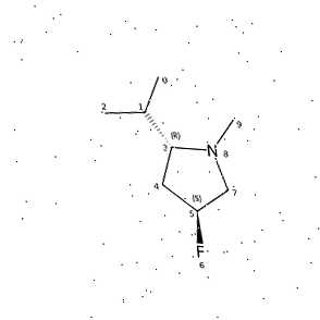 CC(C)[C@H]1C[C@H](F)CN1C